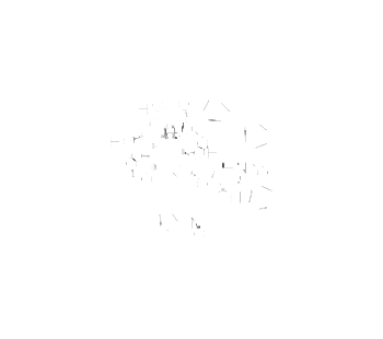 CC(=O)O[C@H]1C(=O)[C@@]2(C)[C@H]([C@H](OC(=O)c3ccccc3)[C@]3(O)C[C@H](OC(=O)[C@H](O)[C@@H](NC(=O)c4ccccc4)c4ccccc4)C(C)=C1C3(C)C)[C@]1(OC(C)=O)CO[C@@H]1C[C@@H]2O.O=Nc1cccs1